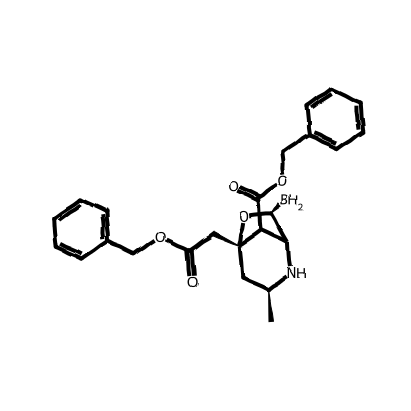 B[C@@H]1O[C@@]2(CC(=O)OCc3ccccc3)C[C@H](C)NC1C2C(=O)OCc1ccccc1